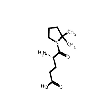 CC1(C)CCCN1C(=O)[C@@H](N)CCC(=O)O